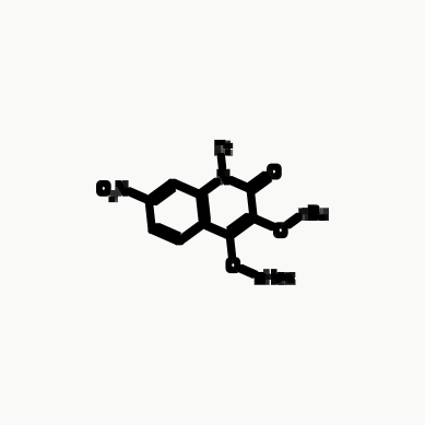 CCCCCCOc1c(OCCCC)c(=O)n(CC)c2cc([N+](=O)[O-])ccc12